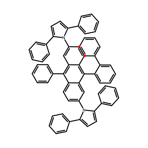 c1ccc(-c2ccccc2-c2c3ccc(-n4c(-c5ccccc5)ccc4-c4ccccc4)cc3c(-c3ccccc3)c3ccc(-n4c(-c5ccccc5)ccc4-c4ccccc4)cc23)cc1